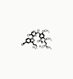 CCCc1nn(-c2nc(Nc3cc([N+](=O)[O-])c(N(C)CCN(C)C)cc3OC)ncc2Cl)c2ccc(C#N)cc12